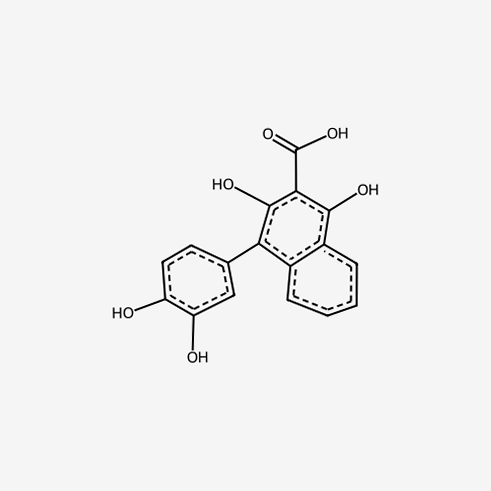 O=C(O)c1c(O)c(-c2ccc(O)c(O)c2)c2ccccc2c1O